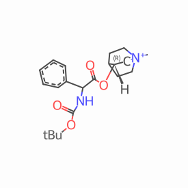 CC(C)(C)OC(=O)NC(C(=O)O[C@H]1C[N+]2(C)CCC1CC2)c1ccccc1